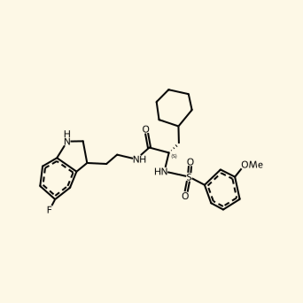 COc1cccc(S(=O)(=O)N[C@@H](CC2CCCCC2)C(=O)NCCC2CNc3ccc(F)cc32)c1